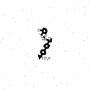 C[C@@H](OC(=O)Nc1occc1-c1ccc(-c2ccc(C3(C(=O)O)CC3)cc2)cc1)c1ccccc1Cl